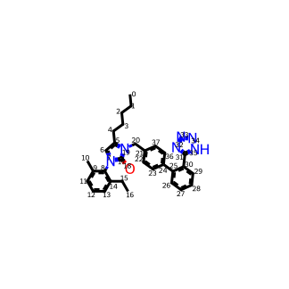 CCCCCc1cn(-c2c(C)cccc2CC)c(=O)n1Cc1ccc(-c2ccccc2-c2nnn[nH]2)cc1